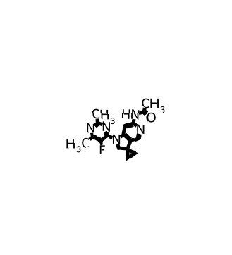 CC(=O)Nc1cc2c(cn1)C1(CC1)CN2c1nc(C)nc(C)c1F